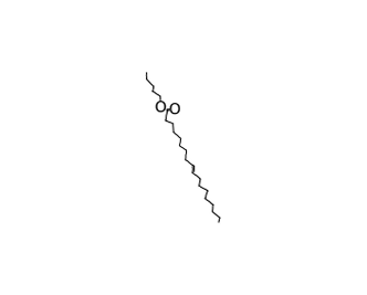 CCCCCCCC/C=C/CCCCCCCC(=O)OCCCCC